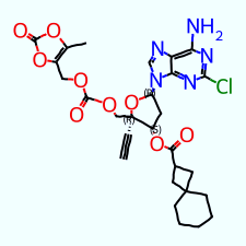 C#C[C@]1(COC(=O)OCc2oc(=O)oc2C)O[C@@H](n2cnc3c(N)nc(Cl)nc32)C[C@@H]1OC(=O)C1CC2(CCCCC2)C1